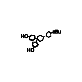 CCCC[C@H]1CC[C@H](C2CCC(c3ccc(O)cc3)(c3ccc(O)cc3)CC2)CC1